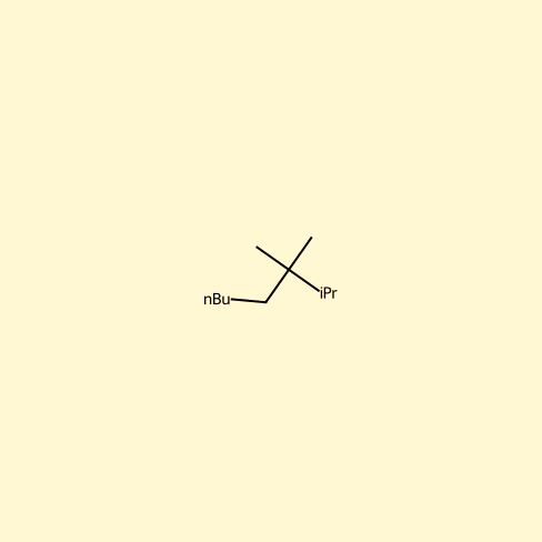 [CH2]C(C)C(C)(C)CCCCC